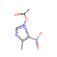 CC(=O)On1cnc(C)c1[N+](=O)[O-]